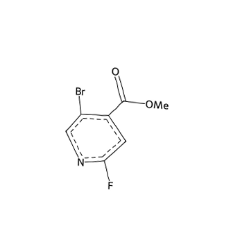 COC(=O)c1cc(F)ncc1Br